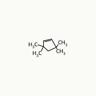 CC1(C)C=CC(C)(C)C1